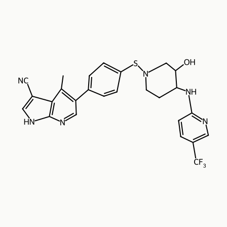 Cc1c(-c2ccc(SN3CCC(Nc4ccc(C(F)(F)F)cn4)C(O)C3)cc2)cnc2[nH]cc(C#N)c12